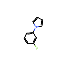 Fc1cccc(-n2[c]ccc2)c1